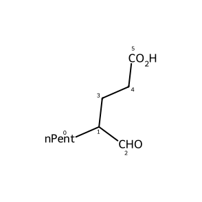 CCCCCC(C=O)CCC(=O)O